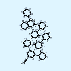 N#Cc1cccc(-c2ccccc2-c2cc(-c3ccccc3-c3ccccc3-c3ccccc3-c3nc(-c4ccccc4)c4ccccc4n3)nc(-c3ccccc3)n2)c1